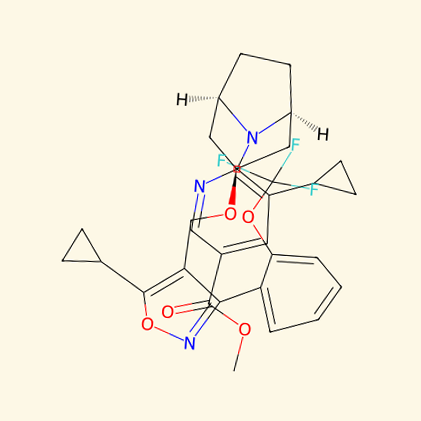 COC(=O)c1cnc(N2[C@@H]3CC[C@H]2C[C@@H](OCc2c(-c4ccccc4OC(F)(F)F)noc2C2CC2)C3)c(C2CC2)c1